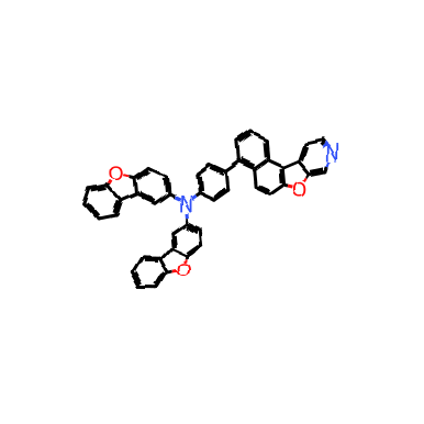 c1ccc2c(c1)oc1ccc(N(c3ccc(-c4cccc5c4ccc4oc6cnccc6c45)cc3)c3ccc4oc5ccccc5c4c3)cc12